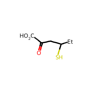 CCC(S)CC(=O)C(=O)O